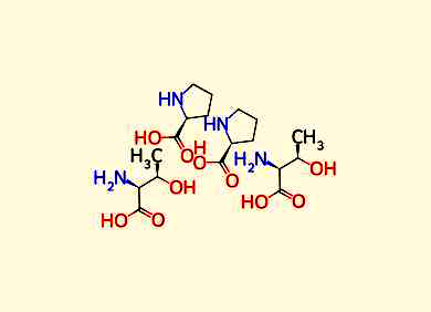 C[C@@H](O)[C@H](N)C(=O)O.C[C@@H](O)[C@H](N)C(=O)O.O=C(O)[C@@H]1CCCN1.O=C(O)[C@@H]1CCCN1